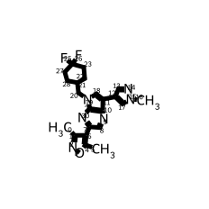 Cc1noc(C)c1-c1cnc2c(-c3cnn(C)c3)cn(CC3CCC(F)(F)CC3)c2n1